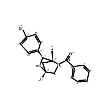 O=C(c1ccccc1)N1C[C@H]2C[C@@H]1[C@H](c1ccc(Br)cc1)O2